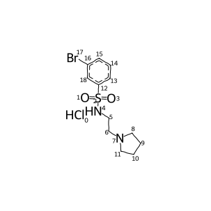 Cl.O=S(=O)(NCCN1CCCC1)c1cccc(Br)c1